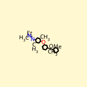 CCN(C)C=Nc1cc(C)c(Oc2cccc(C(C)(OC)c3ccccc3)c2)cc1C